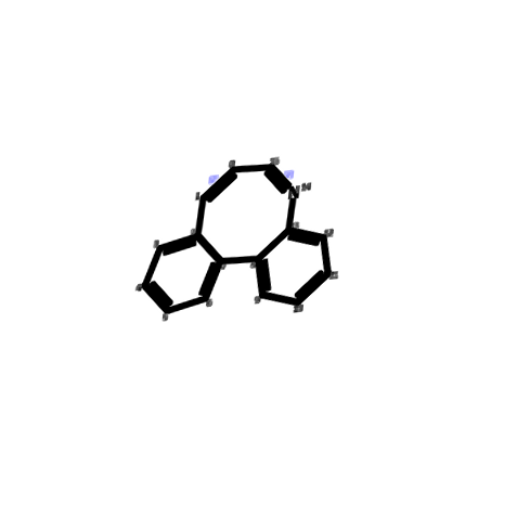 C1=C\c2ccccc2-c2ccccc2\N=C/1